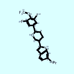 CCCc1ccc2cc(C3CCC(c4cc(F)c(OC(F)(F)F)c(F)c4)OC3)sc2c1